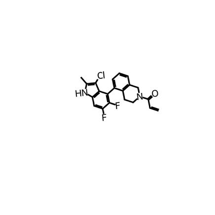 C=CC(=O)N1CCc2c(cccc2-c2c(F)c(F)cc3[nH]c(C)c(Cl)c23)C1